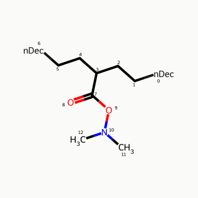 CCCCCCCCCCCCC(CCCCCCCCCCCC)C(=O)ON(C)C